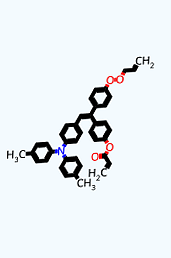 C=CCOOc1ccc(C(=Cc2ccc(N(c3ccc(C)cc3)c3ccc(C)cc3)cc2)c2ccc(OC(=O)C=C)cc2)cc1